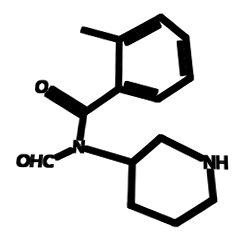 Cc1ccccc1C(=O)N(C=O)C1CCCNC1